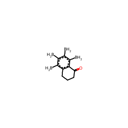 Bc1c(B)c(B)c2c(c1B)CCCC2=O